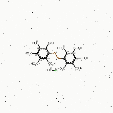 O=C(O)c1c(SSc2c(C(=O)O)c(C(=O)O)c(C(=O)O)c(C(=O)O)c2C(=O)O)c(C(=O)O)c(C(=O)O)c(C(=O)O)c1C(=O)O.O=CCl